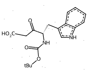 CC(C)(C)OC(=O)N[C@@H](Cc1c[nH]c2ccccc12)C(=O)CC(=O)O